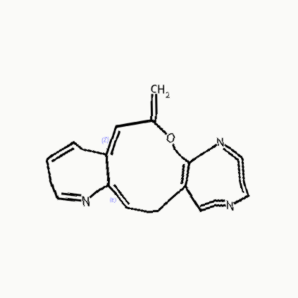 C=C1/C=c2/cccn/c2=C/CC2=C(N=C=CN=C2)O1